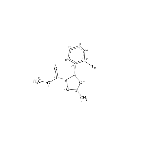 COC(=O)[C@H]1O[C@@H](C)O[C@H]1c1ccccc1I